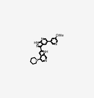 COc1cncc(-c2cnc3[nH]nc(-c4cc5c(N6CCCCC6)cncc5[nH]4)c3c2)c1